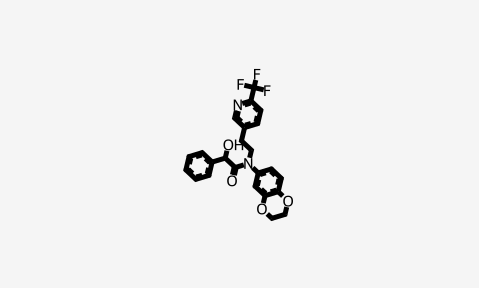 O=C(C(O)c1ccccc1)N(CCc1ccc(C(F)(F)F)nc1)c1ccc2c(c1)OCCO2